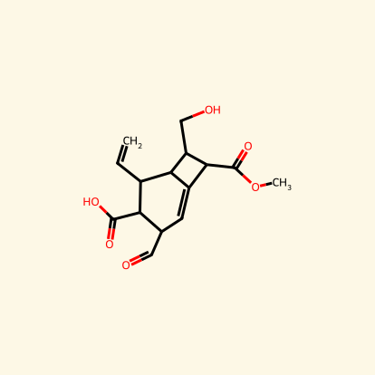 C=CC1C(C(=O)O)C(C=O)C=C2C(C(=O)OC)C(CO)C21